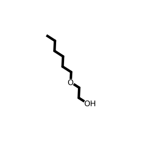 CCCCCCOCCO